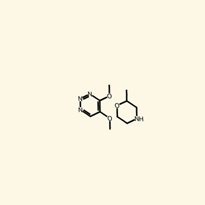 CC1CNCCO1.COc1cnnnc1OC